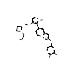 Cc1ncc(Nc2cc3cc(-c4c(OC[C@H]5CCN5C[C@H](C)O)cnn4C)ccn3n2)nc1C